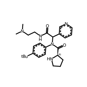 CN(C)CCNC(=O)C(c1cccnc1)N(C(=O)[C@H]1CCCN1)c1ccc(C(C)(C)C)cc1